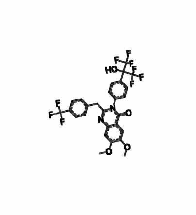 COc1cc2nc(Cc3ccc(C(F)(F)F)cc3)n(-c3ccc(C(O)(C(F)(F)F)C(F)(F)F)cc3)c(=O)c2cc1OC